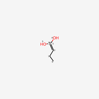 CC[CH]=[Ti]([OH])[OH]